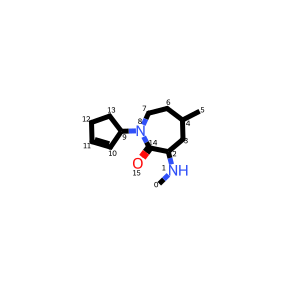 CNC1CC(C)CCN(C2C=CCC2)C1=O